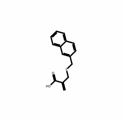 C=C(CSCc1ccc2ccccc2c1)C(=O)O